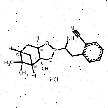 CC1(C)[C@@H]2C[C@H]3OB(C(N)Cc4ccccc4C#N)O[C@@]3(C)[C@H]1C2.Cl